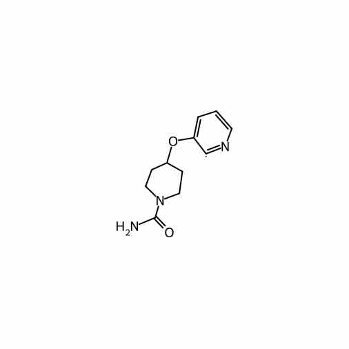 NC(=O)N1CCC(Oc2[c]nccc2)CC1